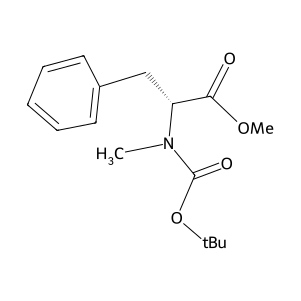 COC(=O)[C@@H](Cc1ccccc1)N(C)C(=O)OC(C)(C)C